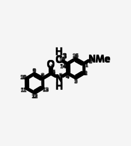 CNc1ccc(NC(=O)c2ccccc2)c(C)c1